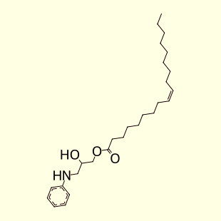 CCCCCCCC/C=C\CCCCCCCC(=O)OCC(O)CNc1ccccc1